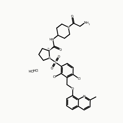 Cc1ccc2cccc(OCc3c(Cl)ccc(S(=O)(=O)N4CCC[C@H]4C(=O)NC4CCN(C(=O)CN)CC4)c3Cl)c2n1.Cl.Cl